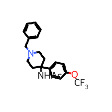 CC(=O)NC1(c2ccc(OC(F)(F)F)cc2)CCN(Cc2ccccc2)CC1